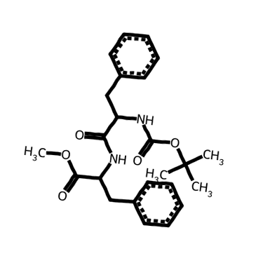 COC(=O)C(Cc1ccccc1)NC(=O)C(Cc1ccccc1)NC(=O)OC(C)(C)C